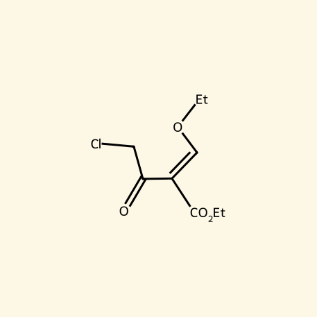 CCO/C=C(\C(=O)CCl)C(=O)OCC